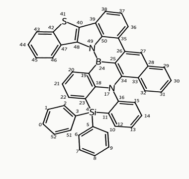 c1ccc([Si]2(c3ccccc3)c3ccccc3N3c4c(cccc42)B2c4c(cc5ccccc5c43)-c3cccc4c5sc6ccccc6c5n2c34)cc1